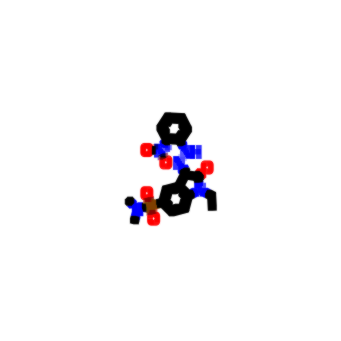 CCN1C(=O)C(=NNc2ccccc2[N+](=O)[O-])c2cc(S(=O)(=O)N(C)C)ccc21